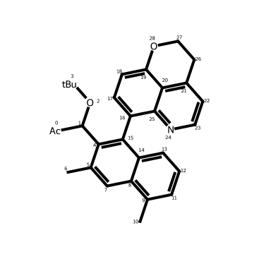 CC(=O)C(OC(C)(C)C)c1c(C)cc2c(C)cccc2c1-c1ccc2c3c(ccnc13)CCO2